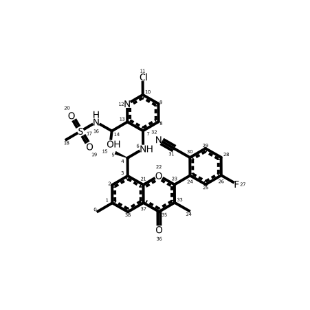 Cc1cc([C@@H](C)Nc2ccc(Cl)nc2C(O)NS(C)(=O)=O)c2oc(-c3cc(F)ccc3C#N)c(C)c(=O)c2c1